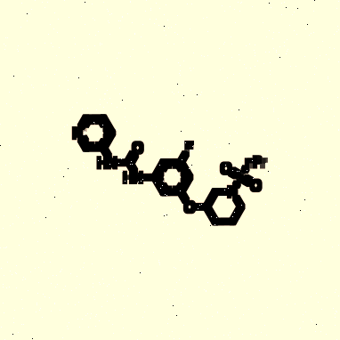 CCCS(=O)(=O)N1CCCC(Oc2cc(F)cc(NC(=O)Nc3cccnc3)c2)C1